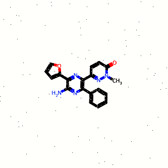 Cn1nc(-c2nc(-c3ccco3)c(N)nc2-c2ccccc2)ccc1=O